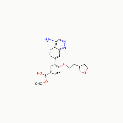 Nc1cnnc2cc(-c3cc(B(O)OC=O)ccc3OCCC3CCOC3)ccc12